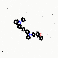 c1ccc(-n2c3ccccc3c3ccc(-c4ccc(-c5ccc6c(c5)c5ccccc5n6-c5ccc(-c6ccc7oc8ccccc8c7c6)cc5)cc4)cc32)cc1